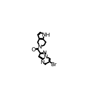 O=C(c1cc2ncc(Br)cn2n1)N1CCc2[nH]ccc2C1